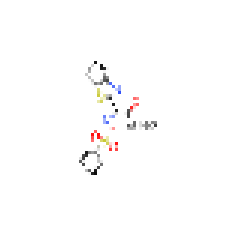 CCCCCCC(=O)/C(=N\OS(=O)(=O)c1ccccc1)c1nc2ccccc2s1